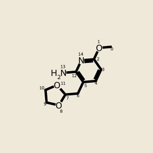 COc1ccc(CC2OCCO2)c(N)n1